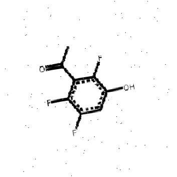 CC(=O)c1c(F)c(O)cc(F)c1F